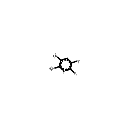 Nc1cc(Br)c(F)nc1N